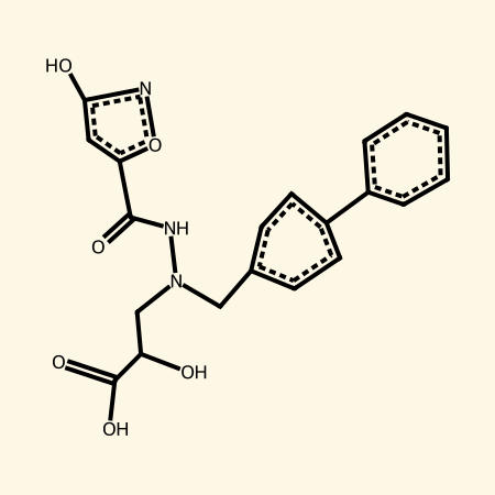 O=C(NN(Cc1ccc(-c2ccccc2)cc1)CC(O)C(=O)O)c1cc(O)no1